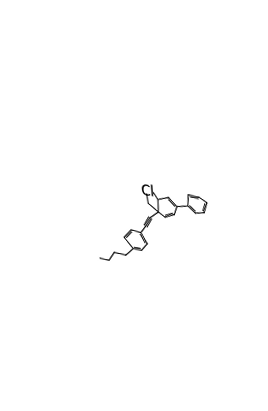 CCCCc1ccc(C#CC2(CC)C=CC(c3ccccc3)=CC2Cl)cc1